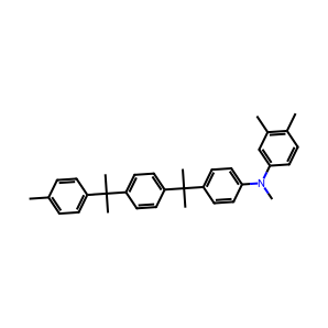 Cc1ccc(C(C)(C)c2ccc(C(C)(C)c3ccc(N(C)c4ccc(C)c(C)c4)cc3)cc2)cc1